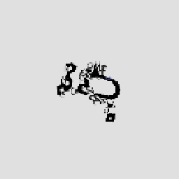 COC(=O)[C@@]12C[C@H]1/C=C\CCCCC[C@H](NC(=O)OC1CCC1)C(=O)N1C[C@H](Oc3cc(-c4ccccn4)nc4ccsc34)C[C@H]1C(=O)N2